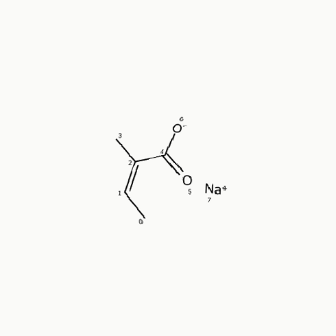 CC=C(C)C(=O)[O-].[Na+]